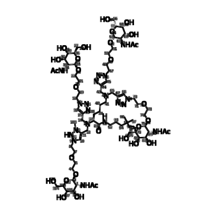 CC(=O)N[C@H]1[C@H](OCCOCCN2C=C(CN(Cc3cn(CCOCCO[C@@H]4O[C@H](CO)[C@H](O)[C@H](O)[C@H]4NC(C)=O)nn3)[C@@H](CCCCN(Cc3cn(CCOCCO[C@@H]4O[C@H](CO)[C@H](O)[C@H](O)[C@H]4NC(C)=O)nn3)Cc3cn(CCOCCO[C@@H]4O[C@H](CO)[C@H](O)[C@H](O)[C@H]4NC(C)=O)nn3)C(=O)NCCCC(C)(C)C(C)C)N(C)N2)O[C@H](CO)[C@H](O)[C@@H]1O